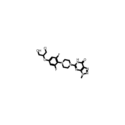 Cn1nnc2c(=O)[nH]c(N3CCN(c4c(F)cc(OC(CO)CCl)cc4F)CC3)nc21